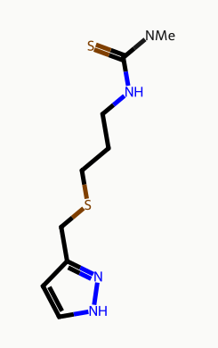 CNC(=S)NCCCSCc1cc[nH]n1